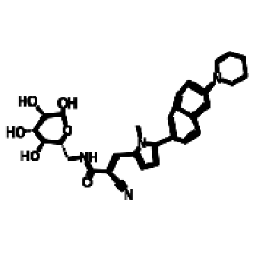 Cn1c(/C=C(\C#N)C(=O)NC[C@H]2OC(O)[C@H](O)[C@@H](O)[C@@H]2O)ccc1-c1ccc2cc(N3CCCCC3)ccc2c1